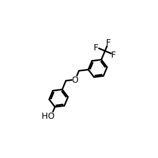 Oc1ccc(COCc2cccc(C(F)(F)F)c2)cc1